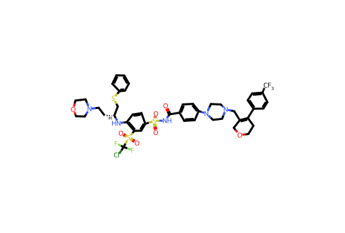 O=C(NS(=O)(=O)c1ccc(N[C@H](CCN2CCOCC2)CSc2ccccc2)c(S(=O)(=O)C(F)(F)Cl)c1)c1ccc(N2CCN(CC3=C(c4ccc(C(F)(F)F)cc4)CCOC3)CC2)cc1